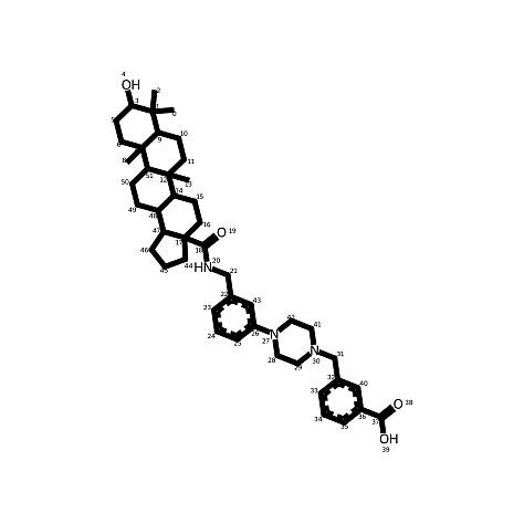 CC1(C)C(O)CCC2(C)C1CCC1(C)C3CCC4(C(=O)NCc5cccc(N6CCN(Cc7cccc(C(=O)O)c7)CC6)c5)CCCC4C3CCC12